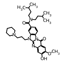 COc1cc2c(=O)n3c4ccc(C(=O)N(CCC(C)C)CCC(C)C)cc4n(CCCN4CCCCC4)c3nc2cc1O